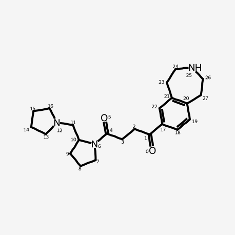 O=C(CCC(=O)N1CCCC1CN1CCCC1)c1ccc2c(c1)CCNCC2